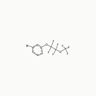 FC(F)(F)OC(F)(F)C(F)(F)Oc1cccc(Br)c1